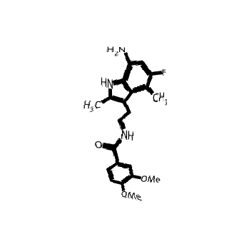 COc1ccc(C(=O)NCCc2c(C)[nH]c3c(N)cc(F)c(C)c23)cc1OC